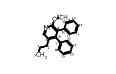 CCCc1[c]nc(OC)c(-c2ccccc2)c1-c1ccccc1